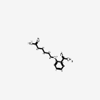 CC(=O)c1ccccc1OCCCCCC(=O)O